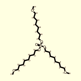 COCCCCCCCCOP(=O)(OCCCCCCCCOC)OCCCCCCCCOC